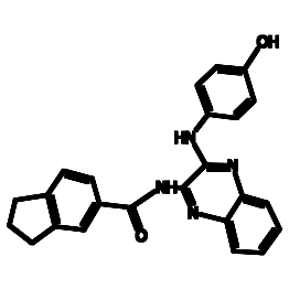 O=C(Nc1nc2ccccc2nc1Nc1ccc(O)cc1)c1ccc2c(c1)CCC2